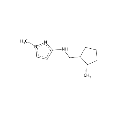 C[C@H]1CCCC1CNc1ccn(C)n1